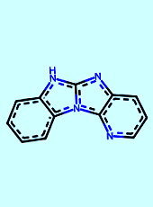 c1cnc2c(c1)nc1[nH]c3ccccc3n12